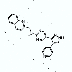 c1ccc2nc(COc3ncc(-c4n[nH]cc4-c4ccncc4)cn3)ccc2c1